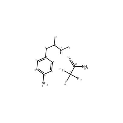 CNC(C)Cc1ccc(N)cc1.NC(=O)C(F)(F)F